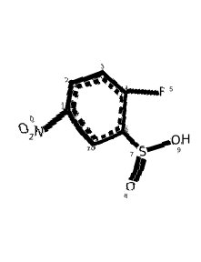 O=[N+]([O-])c1ccc(F)c(S(=O)O)c1